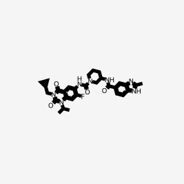 Cc1nc2cc(C(=O)NC3CCCN(C(=O)Nc4cc5c(=O)n(CC6CC6)c(=O)n(C(C)C)c5cc4F)C3)ccc2[nH]1